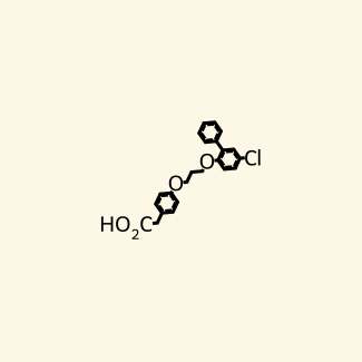 O=C(O)Cc1ccc(OCCCOc2ccc(Cl)cc2-c2ccccc2)cc1